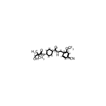 CC(C)(CO)C(=O)N[C@H]1CC[C@@H](C(=O)NCc2ccc(C#N)cc2OC(F)(F)F)CC1